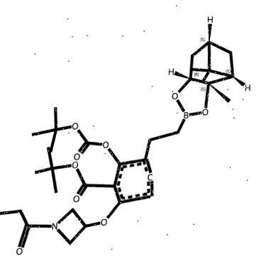 CC(C)(C)OC(=O)Oc1c(CCB2O[C@@H]3C[C@@H]4C[C@@H](C4(C)C)[C@]3(C)O2)ccc(OC2CN(C(=O)CCl)C2)c1C(=O)OC(C)(C)C